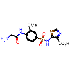 COc1cc(S(=O)(=O)Nc2scnc2C(=O)O)ccc1NC(=O)CN